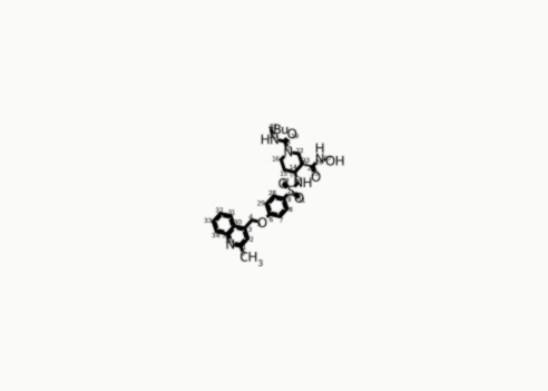 Cc1cc(COc2ccc(S(=O)(=O)N[C@H]3CCN(C(=O)NC(C)(C)C)C[C@H]3C(=O)NO)cc2)c2ccccc2n1